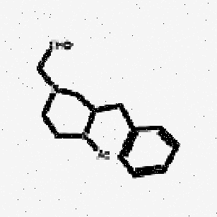 CC(=O)N1CCN(C[C]=O)CC1Cc1ccccc1